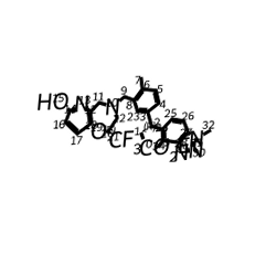 CCOC(=O)C[C@H](c1ccc(C)c(CN2Cc3nc(O)ccc3O[C@@H](C(F)(F)F)C2)c1)c1ccc2c(nnn2C)c1C